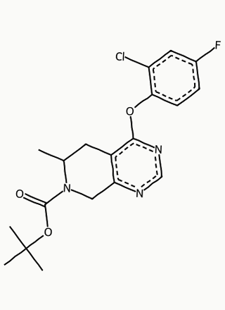 CC1Cc2c(ncnc2Oc2ccc(F)cc2Cl)CN1C(=O)OC(C)(C)C